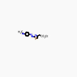 C=Nc1ccc(/N=N/c2nc(CC(=O)OCC)cs2)cc1